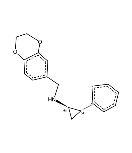 c1ccc([C@@H]2C[C@H]2NCc2ccc3c(c2)OCCO3)cc1